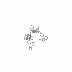 N#Cc1ccc(NC(=O)NCCn2nc(C(=O)NCc3ccc(C(=O)O)cc3)c3ccccc32)cc1Cl